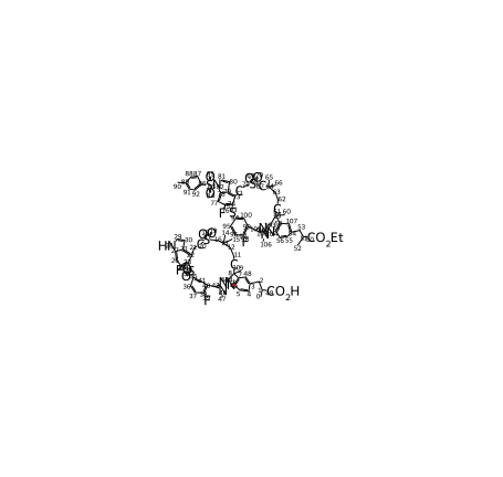 CC(Cc1cccc(C2(C)CCCC(C)(C)CS(=O)(=O)CCc3c(c(F)cc4[nH]ccc34)S(=O)(=O)c3ccc(F)c(c3)-c3nc2nn3C)c1)C(=O)O.CCOC(=O)C(C)Cc1cccc(C2(C)CCCC(C)(C)CS(=O)(=O)CCc3c(c(F)cc4c3ccn4S(=O)(=O)c3ccc(C)cc3)Sc3ccc(F)c(c3)-c3nc2nn3C)c1